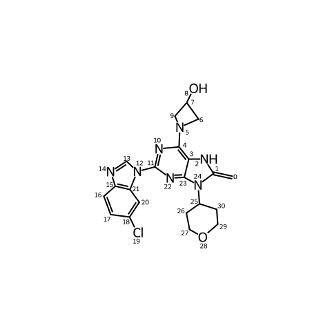 C=C1Nc2c(N3CC(O)C3)nc(-n3cnc4ccc(Cl)cc43)nc2N1C1CCOCC1